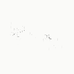 CC(C)CCCC(C)[C@H]1CC[C@H]2[C@@H]3CC=C4C[C@@H](OCCCNC(=O)CCC(=O)NC(CC(C)C)C(=O)NC(Cc5ccccc5)C(=O)Nc5ccc(CO)cc5)CC[C@]4(C)[C@H]3CC[C@]12C